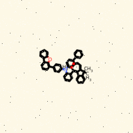 C[C@@H]1C=CC=C2C(=C1c1ccccc1N(c1ccc(-c3ccccc3)cc1)c1ccc(-c3cccc4c3oc3ccccc34)cc1)c1ccccc1C2(C)C